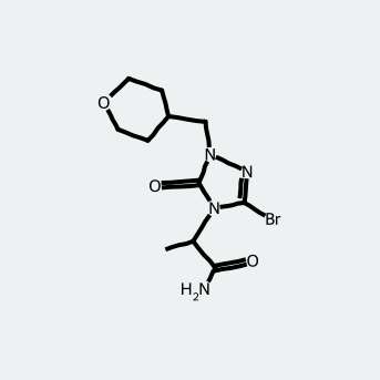 CC(C(N)=O)n1c(Br)nn(CC2CCOCC2)c1=O